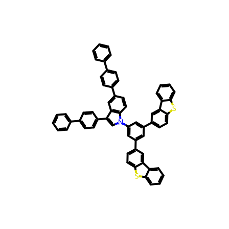 c1ccc(-c2ccc(-c3ccc4c(c3)c(-c3ccc(-c5ccccc5)cc3)cn4-c3cc(-c4ccc5sc6ccccc6c5c4)cc(-c4ccc5sc6ccccc6c5c4)c3)cc2)cc1